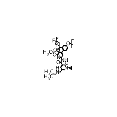 CC(C)CNCc1cc(C(=O)Nc2cc(-c3ccc(OC(F)F)cc3C(=O)N3CC(F)(F)C3)cc(OC(C)C)n2)c(=O)n(C2CC2)c1